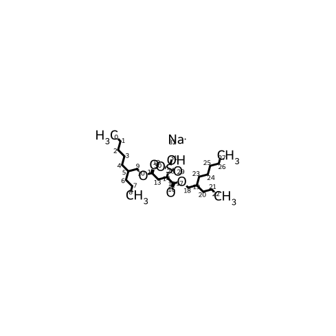 CCCCCC(CCC)COC(=O)CC(C(=O)OCC(CCC)CCCCC)S(=O)(=O)O.[Na]